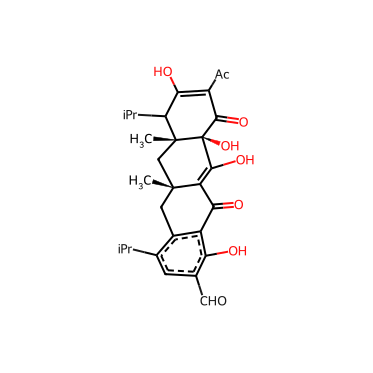 CC(=O)C1=C(O)C(C(C)C)[C@@]2(C)C[C@@]3(C)Cc4c(C(C)C)cc(C=O)c(O)c4C(=O)C3=C(O)[C@@]2(O)C1=O